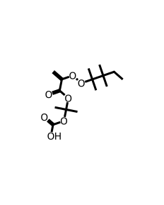 C=C(OOC(C)(C)C(C)(C)CC)C(=O)OC(C)(C)OC(=O)O